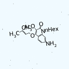 CCCCCCn1c(=O)c(OC(C)=O)c(OCC=C(C)C)c2ccc(N)cc21